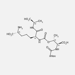 CCCCCCC(=O)N[C@H](C(=O)O)[C@@H](C)OC(=O)N[C@@H](CCC[C@@H](N)C(=O)O)C(=O)N[C@H](C)C(=O)O